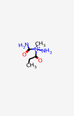 CCC(=O)[N+](C)(N)C(N)=O